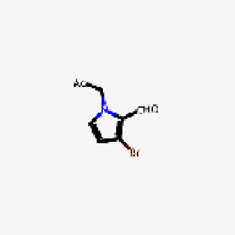 CC(=O)Cn1ccc(Br)c1C=O